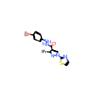 CC(C)c1nn(-c2nccs2)cc1C(=O)NNc1ccc(Br)cc1